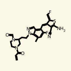 C=CC(=O)N1CCN(C=O)C(CCn2ncc3c(/C=c4\c(C#N)c(N)s\c4=C/F)c(F)cc(C)c32)C1